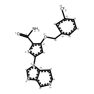 NC(=O)c1sc(-n2cnc3cnccc32)cc1OCc1cccc(C(F)(F)F)c1